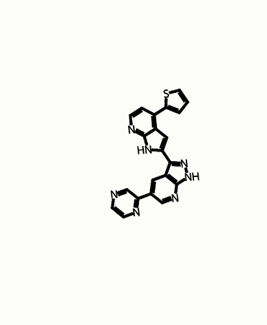 c1csc(-c2ccnc3[nH]c(-c4n[nH]c5ncc(-c6cnccn6)cc45)cc23)c1